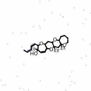 C/C=C\C=C/C1OC2CC3OC4CCCCOC4(CC)CC3(CC)OC2C=CC1(O)CC